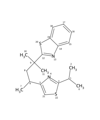 CC(C)c1nc(C(C)CC(C)(C)c2nc3ccccc3s2)cs1